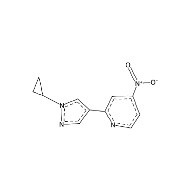 O=[N+]([O-])c1ccnc(-c2cnn(C3CC3)c2)c1